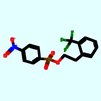 O=[N+]([O-])c1ccc(S(=O)(=O)OCCc2ccccc2C(F)(F)F)cc1